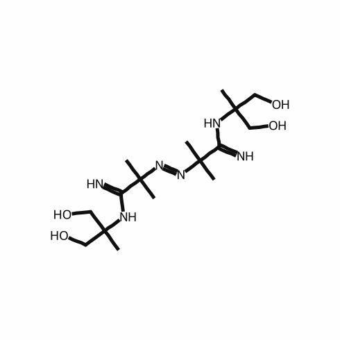 CC(CO)(CO)NC(=N)C(C)(C)/N=N/C(C)(C)C(=N)NC(C)(CO)CO